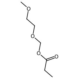 CCC(=O)OCOCCOC